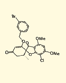 COc1cc(OC)c2c(c1Cl)O[C@]1(C2=O)C(OCc2cccc(Br)c2)=CC(=O)C[C@H]1C